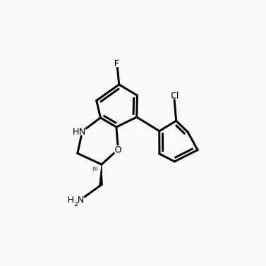 NC[C@H]1CNc2cc(F)cc(-c3ccccc3Cl)c2O1